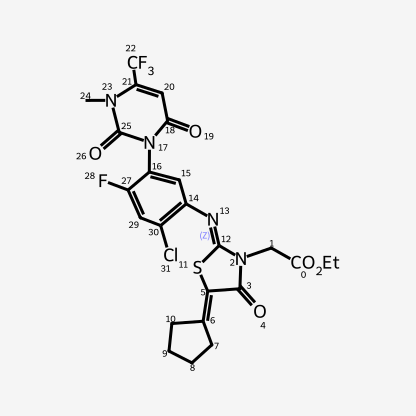 CCOC(=O)CN1C(=O)C(=C2CCCC2)S/C1=N\c1cc(-n2c(=O)cc(C(F)(F)F)n(C)c2=O)c(F)cc1Cl